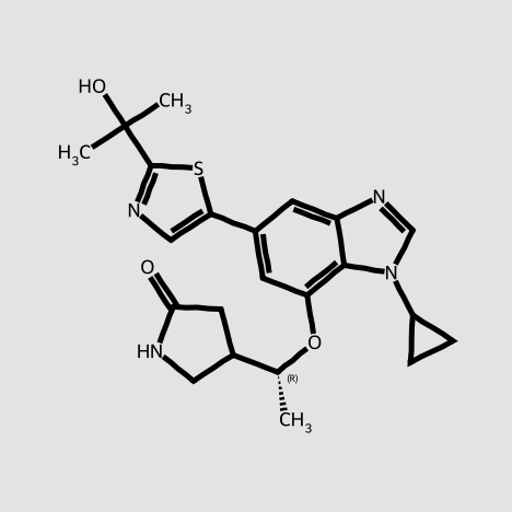 C[C@@H](Oc1cc(-c2cnc(C(C)(C)O)s2)cc2ncn(C3CC3)c12)C1CNC(=O)C1